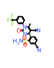 CC1=C(C#N)[C@@H](c2ccc(C#N)cc2S(N)(=O)=O)N(C)C(=O)N1c1cccc(C(F)(F)F)c1